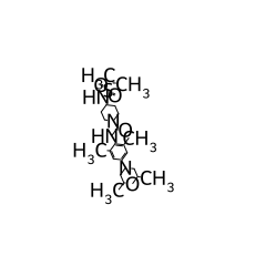 Cc1cc(N2CC(C)OC(C)C2)cc(C)c1NC(=O)N1CCC(NS(=O)(=O)C(C)C)CC1